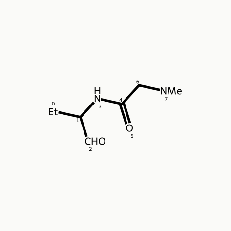 CCC(C=O)NC(=O)CNC